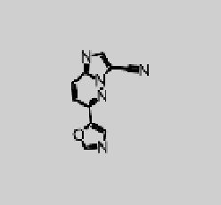 N#Cc1cnc2ccc(-c3cnco3)nn12